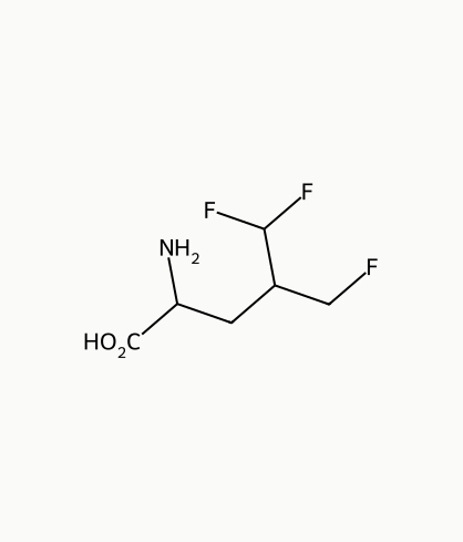 NC(CC(CF)C(F)F)C(=O)O